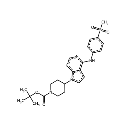 CC(C)(C)OC(=O)N1CCC(n2ccc3c(Nc4ccc(S(C)(=O)=O)cc4)ncnc32)CC1